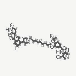 O=C1CCC(N2Cc3c(cc(F)cc3C3CCN(CCCCCCCCCOc4cc(C(=O)Nc5c(Cl)cncc5Cl)ccc4OC(F)F)CC3)C2=O)C(=O)N1